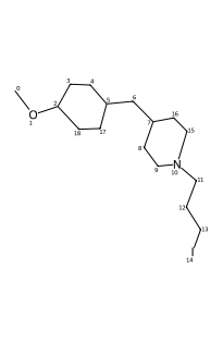 COC1CCC(CC2CCN(CCCI)CC2)CC1